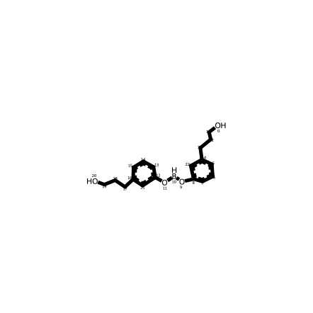 OCCCc1cccc(OBOc2cccc(CCCO)c2)c1